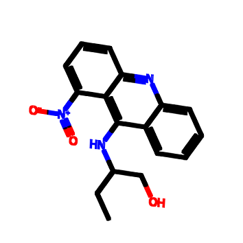 CCC(CO)Nc1c2ccccc2nc2cccc([N+](=O)[O-])c12